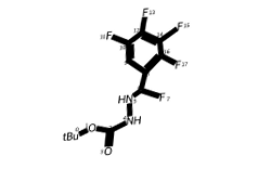 CC(C)(C)OC(=O)NNC(F)c1cc(F)c(F)c(F)c1F